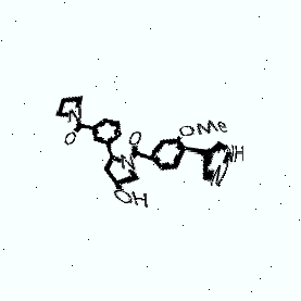 COc1cc(C(=O)N2CC(O)CC2c2cccc(C(=O)N3CCC3)c2)ccc1-c1cn[nH]c1